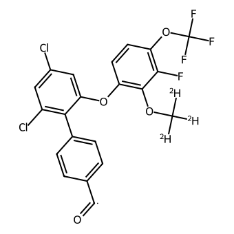 [2H]C([2H])([2H])Oc1c(Oc2cc(Cl)cc(Cl)c2-c2ccc([C]=O)cc2)ccc(OC(F)(F)F)c1F